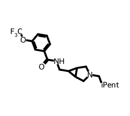 CCCC(C)CN1CC2C(CNC(=O)c3cccc(OC(F)(F)F)c3)C2C1